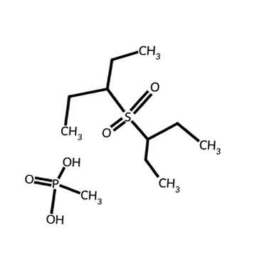 CCC(CC)S(=O)(=O)C(CC)CC.CP(=O)(O)O